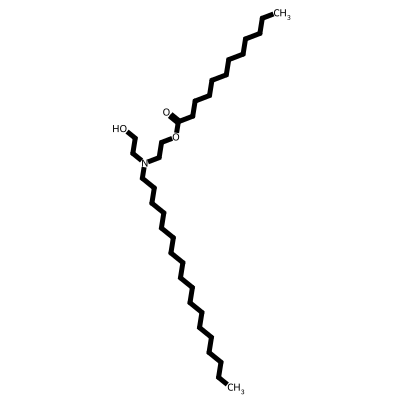 CCCCCCCCCCCCCCCCCCN(CCO)CCOC(=O)CCCCCCCCCCC